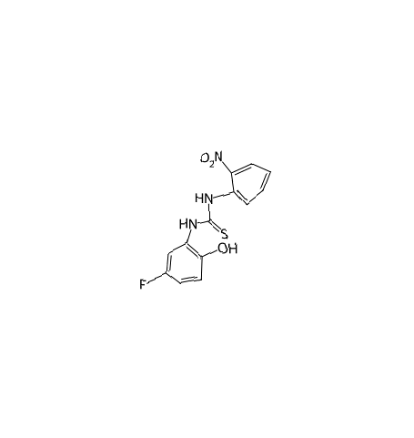 O=[N+]([O-])c1ccccc1NC(=S)Nc1cc(F)ccc1O